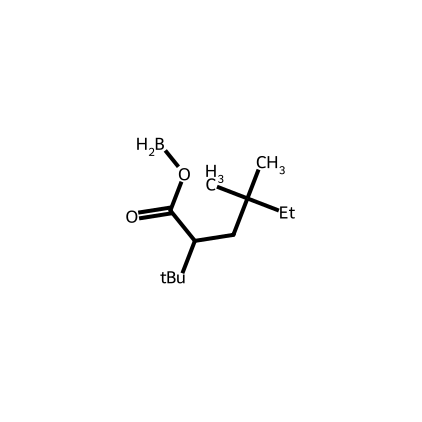 BOC(=O)C(CC(C)(C)CC)C(C)(C)C